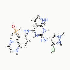 Cn1cc(Nc2nc(Nc3ccc4nccnc4c3P(C)(C)=O)c3cc[nH]c3n2)c(Cl)n1